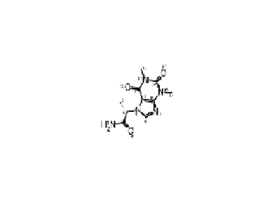 C[C@@H](C(N)=O)n1cnc2c1c(=O)n(C)c(=O)n2C